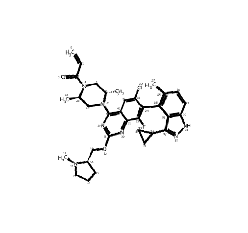 C=CC(=O)N1C[C@H](C)N(c2nc(OC[C@H]3CCCN3C)nc3c(F)c(-c4c(C)ccc5[nH]nc(C6CC6)c45)c(Cl)cc23)C[C@H]1C